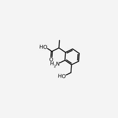 CC(C(=O)O)c1cccc(CO)c1N